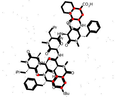 CC(C)C[C@H](NC(=O)[C@H](Cc1ccccc1)N(C)C(=O)[C@H](COC(C)(C)C)NC(=O)[C@H](Cc1ccccc1)N(C)C(=O)[C@H](C)N(C)C(=O)[C@H](CC(C)C)N(C)C(=O)[C@@H](C)N)C(=O)N(C)[C@@H](CC(C)C)C(=O)N[C@H](C(=O)N(C)[C@@H](Cc1ccccc1)C(=O)N[C@@H](CCC(=O)O)C(=O)N1CCCCC1)[C@@H](C)OC1CCCCO1